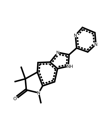 CN1C(=O)C(C)(C)c2cc3nc(-c4cnccn4)[nH]c3cc21